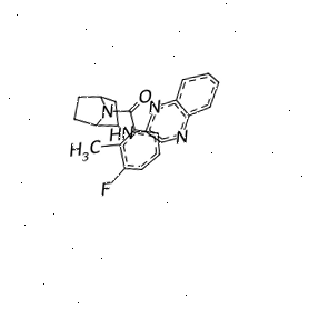 Cc1c(F)cccc1C(=O)N1C2CCC1C(Nc1cnc3ccccc3n1)C2